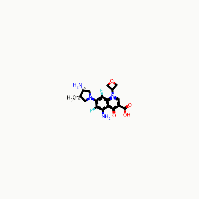 C[C@H]1CN(c2c(F)c(N)c3c(=O)c(C(=O)O)cn(C4COC4)c3c2F)C[C@H]1N